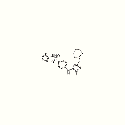 Cn1nc(CC2CCCCC2)cc1Nc1ccc(S(=O)(=O)Nc2nccs2)cc1